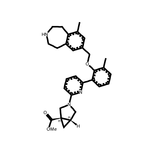 COC(=O)[C@]12C[C@H]1CN(c1cccc(-c3cccc(C)c3OCc3cc(C)c4c(c3)CCNCC4)n1)C2